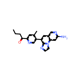 CCCC(=O)c1cc(C)c(-c2cc3cnc(N)cc3n3ccnc23)cn1